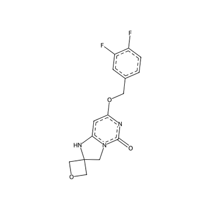 O=c1nc(OCc2ccc(F)c(F)c2)cc2n1CC1(COC1)N2